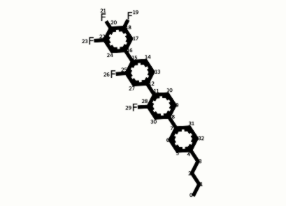 CCCCc1ccc(-c2ccc(-c3ccc(-c4cc(F)c(F)c(F)c4)c(F)c3)c(F)c2)cc1